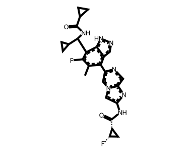 Cc1c(F)c(C(NC(=O)C2CC2)C2CC2)c2[nH]ncc2c1-c1cn2cc(NC(=O)[C@@H]3C[C@@H]3F)nc2cn1